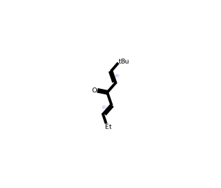 CC/C=C/C(=O)/C=C/C(C)(C)C